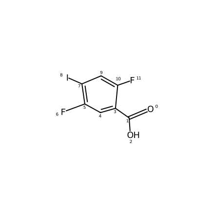 O=C(O)c1cc(F)c(I)cc1F